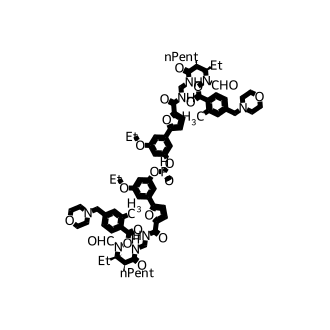 CCCCC[C@@H](C(=O)NCNC(=O)c1ccc(-c2cc(OCC)cc(O[PH](=O)Oc3cc(OCC)cc(-c4ccc(C(=O)NCNC(=O)[C@H](CCCCC)[C@@H](CC)N(C=O)OC(=O)c5ccc(CN6CCOCC6)cc5C)o4)c3)c2)o1)[C@@H](CC)N(C=O)OC(=O)c1ccc(CN2CCOCC2)cc1C